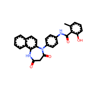 Cc1cccc(O)c1C(=O)Nc1ccc(N2C(=O)CC(=O)Nc3c2ccc2ccccc32)cc1